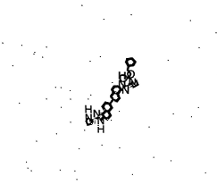 O=C(OCc1ccccc1)N1CCC[C@H]1c1nc2c(ccc3cc(-c4ccc5c(ccc6[nH]c([C@@H]7CCCN7)nc65)c4)ccc32)[nH]1